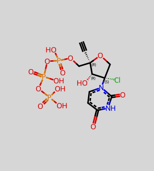 C#C[C@]1(COP(=O)(O)OP(=O)(O)OP(=O)(O)O)OC[C@@](Cl)(n2ccc(=O)[nH]c2=O)[C@@H]1O